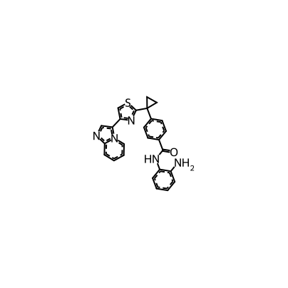 Nc1ccccc1NC(=O)c1ccc(C2(c3nc(-c4cnc5ccccn45)cs3)CC2)cc1